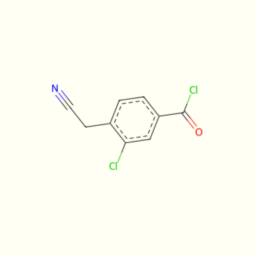 N#CCc1ccc(C(=O)Cl)cc1Cl